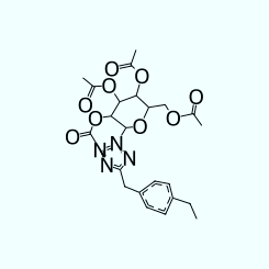 CCc1ccc(Cc2nnn(C3OC(COC(C)=O)C(OC(C)=O)C(OC(C)=O)C3OC(C)=O)n2)cc1